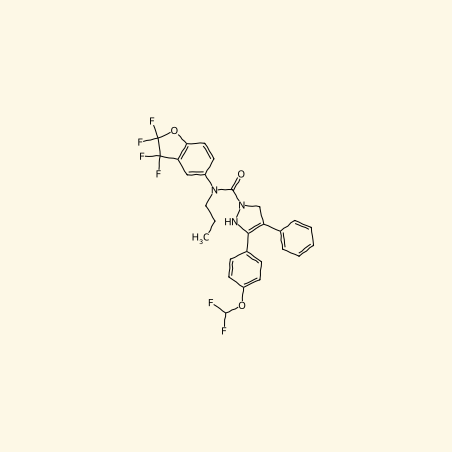 CCCN(C(=O)N1CC(c2ccccc2)=C(c2ccc(OC(F)F)cc2)N1)c1ccc2c(c1)C(F)(F)C(F)(F)O2